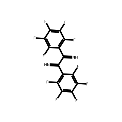 N=C(C(=N)c1c(F)c(F)c(F)c(F)c1F)c1c(F)c(F)c(F)c(F)c1F